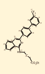 CCOC(=O)CCCNc1nc(-c2ccc(-c3cccc(C(F)(F)F)c3)cc2)nc2ccccc12